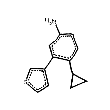 Nc1ccc(C2CC2)c(-c2ccsc2)c1